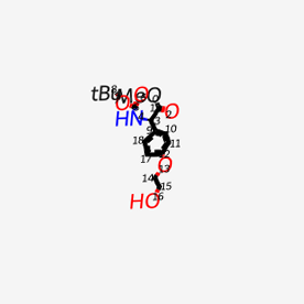 COC(=O)[C@H](NC(=O)OC(C)(C)C)c1ccc(OCCO)cc1